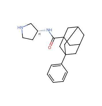 O=C(N[C@@H]1CCNC1)C12CC3CC(C1)CC(c1ccccc1)(C3)C2